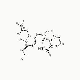 C=C(NC1=NC(C)=NC/C1=C\C(=C/CC)C1CCN(C(C)C)CC1)c1cccc(C)c1